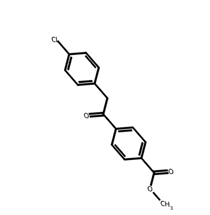 COC(=O)c1ccc(C(=O)Cc2ccc(Cl)cc2)cc1